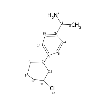 CC(N)c1ccc(C2CCCC(Cl)C2)cc1